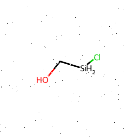 OC[SiH2]Cl